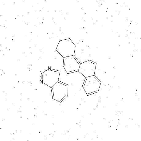 c1ccc2c(c1)ccc1c3c(ccc12)CCCC3.c1ccc2ncncc2c1